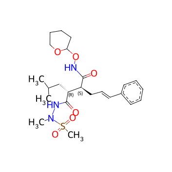 CC(C)C[C@@H](C(=O)NN(C)S(C)(=O)=O)[C@H](CC=Cc1ccccc1)C(=O)NOC1CCCCO1